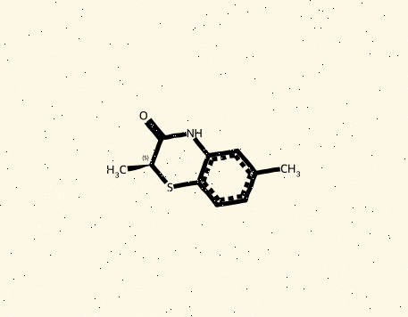 Cc1ccc2c(c1)NC(=O)[C@H](C)S2